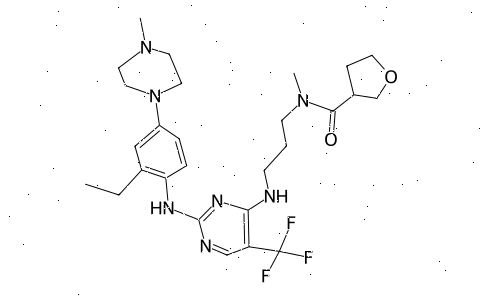 CCc1cc(N2CCN(C)CC2)ccc1Nc1ncc(C(F)(F)F)c(NCCCN(C)C(=O)C2CCOC2)n1